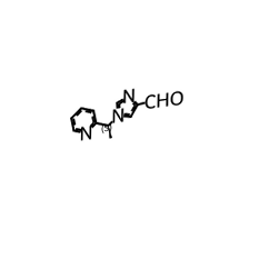 C[C@@H](c1ccccn1)n1cnc(C=O)c1